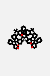 CC(C)(C)c1ccccc1-c1cccc2c1-c1c(c(C#N)cc3c1c1cc(-c4ccccc4)cc4c5c6c(c(C#N)cc5n3c14)C1(c3ccccc3-c3ccccc31)c1cccc(-c3ccccc3C(C)(C)C)c1-6)C21c2ccccc2-c2ccccc21